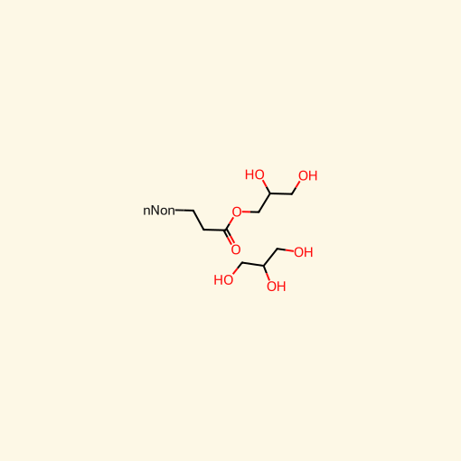 CCCCCCCCCCCC(=O)OCC(O)CO.OCC(O)CO